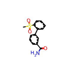 CS(=O)(=O)c1ccccc1-c1cccc(C(N)=O)c1